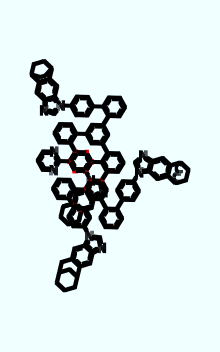 c1cnc(-c2ccc(-c3c(-c4cc(-c5ccccc5-c5ccc(-n6cnc7cc8c(cc76)CC6CCCC8C6)cc5)cc(-c5ccccc5-c5ccc(-n6cnc7cc8c(cc76)C6CCC8CC6)cc5)c4)cccc3-c3cc(-c4ccccc4-c4ccc(-n5cnc6cc7c(cc65)C5CCC7CC5)cc4)cc(-c4ccccc4-c4ccc(-n5cnc6cc7c(cc65)C5CCC7CC5)cc4)c3)cc2)nc1